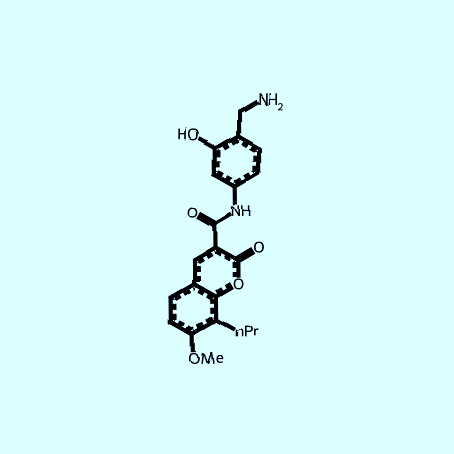 CCCc1c(OC)ccc2cc(C(=O)Nc3ccc(CN)c(O)c3)c(=O)oc12